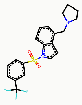 O=S(=O)(c1cccc(C(F)(F)F)c1)n1ccc2c(CN3[CH]CCC3)cccc21